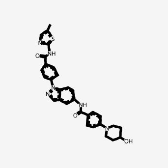 Cc1cnc(NC(=O)c2ccc(-n3ncc4cc(NC(=O)c5ccc(N6CCC(O)CC6)cc5)ccc43)cc2)s1